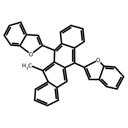 Cc1c2ccccc2cc2c(-c3cc4ccccc4o3)c3ccccc3c(-c3cc4ccccc4o3)c12